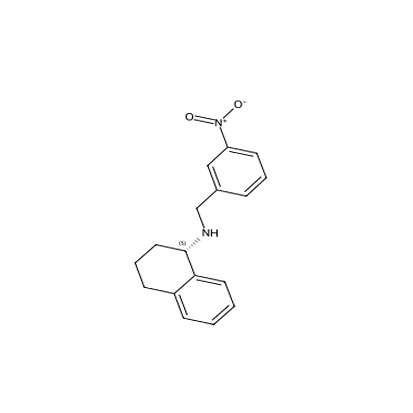 O=[N+]([O-])c1cccc(CN[C@H]2CCCc3ccccc32)c1